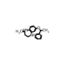 C=C1CCNc2cc(OC(C)c3ccccc3)ccc2N1